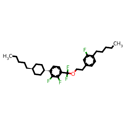 CCCCCc1ccc(CCOC(F)(F)c2ccc([C@H]3CC[C@H](CCCCC)CC3)c(F)c2F)cc1F